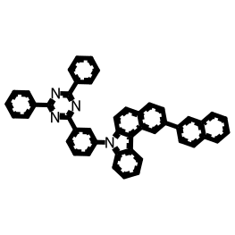 c1ccc(-c2nc(-c3ccccc3)nc(-c3cccc(-n4c5ccccc5c5c6cc(-c7ccc8ccccc8c7)ccc6ccc54)c3)n2)cc1